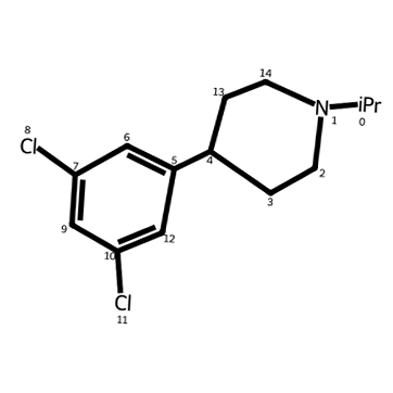 CC(C)N1CCC(c2cc(Cl)cc(Cl)c2)CC1